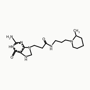 CC1CCCCN1CCCNC(=O)CCN1CNc2c1nc(N)[nH]c2=O